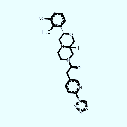 Cc1c(C#N)cccc1[C@H]1CN2CCN(C(=O)Cc3ccc(-n4cnnn4)nc3)C[C@H]2CO1